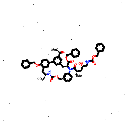 CN[C@@H](C[C@@H](O)CNC(=O)OCc1ccccc1)C(=O)N[C@@H](Cc1cc(C(=O)OC)cc(-c2ccc(OCc3ccccc3)c(C[C@H](NC(=O)OCc3ccccc3)C(=O)O)c2)c1)C(=O)OCc1ccccc1